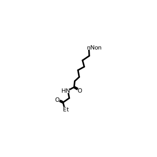 [CH2]CC(=O)CNC(=O)CCCCCCCCCCCCCCC